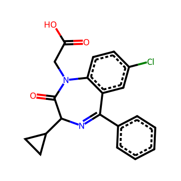 O=C(O)CN1C(=O)C(C2CC2)N=C(c2ccccc2)c2cc(Cl)ccc21